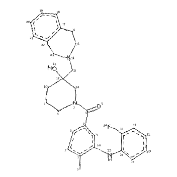 Cc1ccc(C(=O)N2CCCC(O)(CN3CCc4ccccc4C3)C2)cc1Nc1ccccc1F